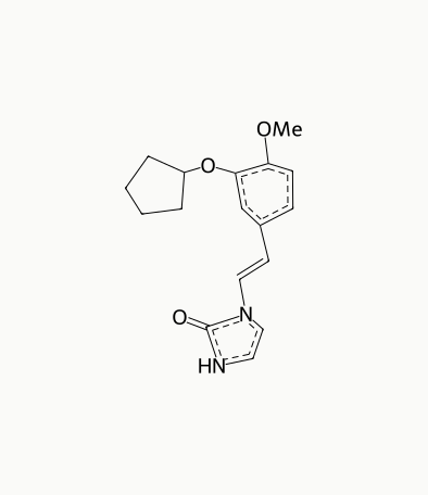 COc1ccc(C=Cn2cc[nH]c2=O)cc1OC1CCCC1